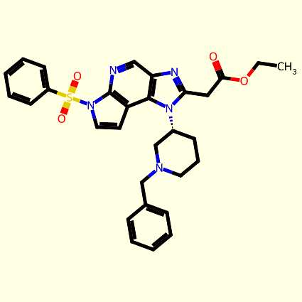 CCOC(=O)Cc1nc2cnc3c(ccn3S(=O)(=O)c3ccccc3)c2n1[C@@H]1CCCN(Cc2ccccc2)C1